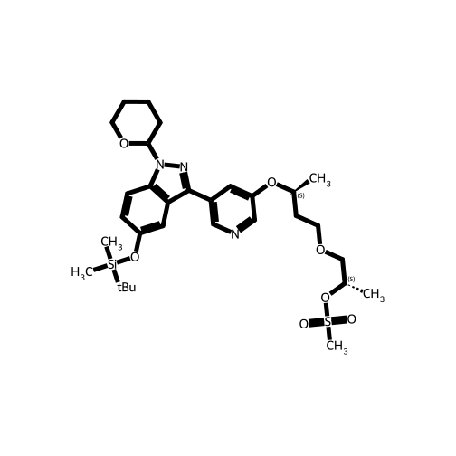 C[C@@H](CCOC[C@H](C)OS(C)(=O)=O)Oc1cncc(-c2nn(C3CCCCO3)c3ccc(O[Si](C)(C)C(C)(C)C)cc23)c1